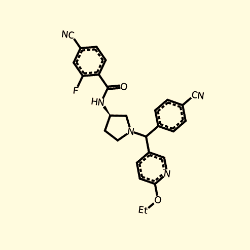 CCOc1ccc(C(c2ccc(C#N)cc2)N2CC[C@@H](NC(=O)c3ccc(C#N)cc3F)C2)cn1